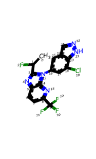 CC(F)c1nc2ccc(C(F)(F)F)nc2n1-c1cc(Cl)c2[nH]ncc2c1